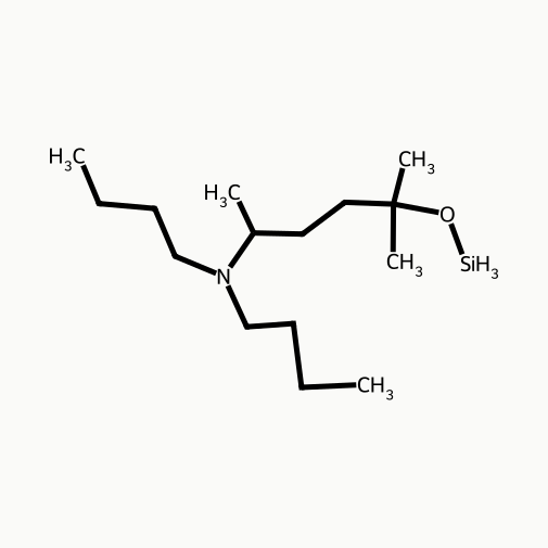 CCCCN(CCCC)C(C)CCC(C)(C)O[SiH3]